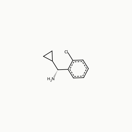 N[C@@H](c1ccccc1Cl)C1CC1